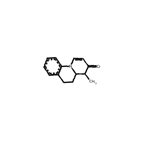 CC1C(=O)C=CN2c3ccccc3CCC12